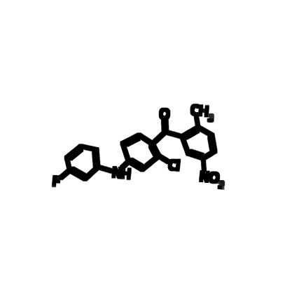 Cc1ccc([N+](=O)[O-])cc1C(=O)c1ccc(Nc2cccc(F)c2)cc1Cl